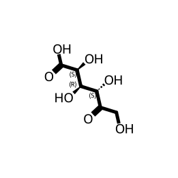 O=C(O)[C@@H](O)[C@H](O)[C@H](O)C(=O)CO